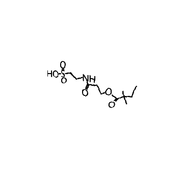 CCC(C)(C)C(=O)OCCC(=O)NCCS(=O)(=O)O